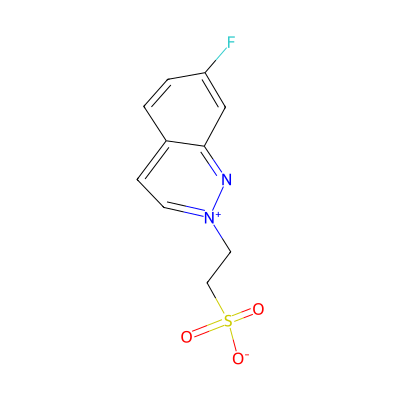 O=S(=O)([O-])CC[n+]1ccc2ccc(F)cc2n1